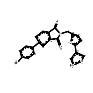 O=C1c2ccc(-c3ccc(O)cc3)cc2C(=O)N1Cc1ccc(-c2cn[nH]c2)o1